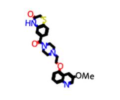 COc1cnc2cccc(OCCN3CCN(C(=O)c4ccc5c(c4)NC(=O)CS5)CC3)c2c1